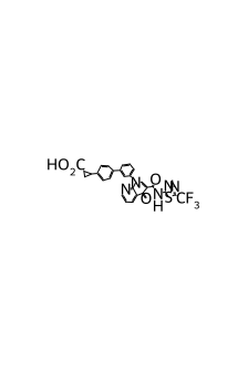 O=C(Nc1nnc(C(F)(F)F)s1)c1cn(-c2cccc(-c3ccc(C4CC4C(=O)O)cc3)c2)c2ncccc2c1=O